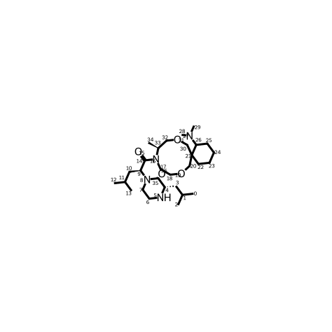 CC(C)C[C@@H]1NCCN([C@@H](CC(C)C)C(=O)N2CCOCC3(CCCCC3N(C)C)COC[C@@H]2C)C1=O